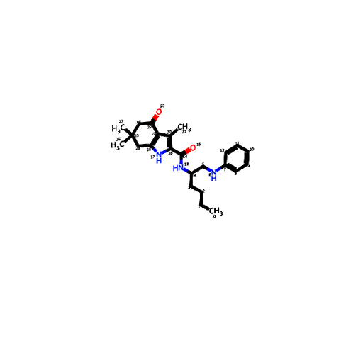 CCCCC(CNc1ccccc1)NC(=O)c1[nH]c2c(c1C)C(=O)CC(C)(C)C2